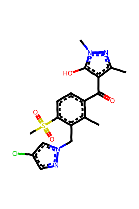 Cc1nn(C)c(O)c1C(=O)c1ccc(S(C)(=O)=O)c(Cn2cc(Cl)cn2)c1C